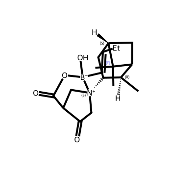 CC/C=C/[B-]1(O)OC(=O)C2C[N@+]1(C1C[C@@H]3CC([C@H]1C)C3(C)C)CC2=O